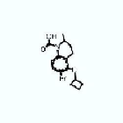 CC1CCc2c(ccc(Br)c2OC2CCC2)N1C(=O)O